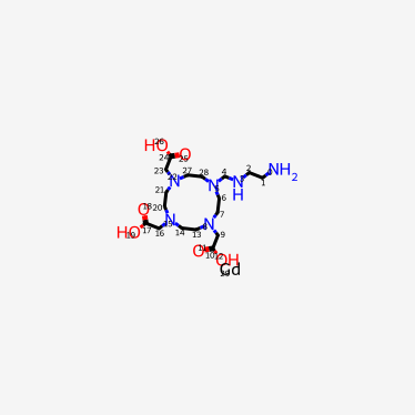 NCCNCN1CCN(CC(=O)O)CCN(CC(=O)O)CCN(CC(=O)O)CC1.[Gd]